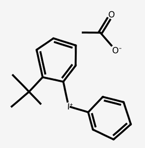 CC(=O)[O-].CC(C)(C)c1ccccc1[I+]c1ccccc1